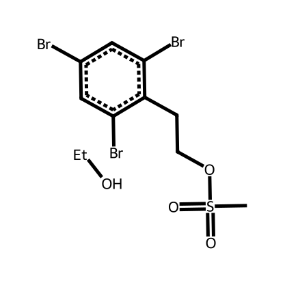 CCO.CS(=O)(=O)OCCc1c(Br)cc(Br)cc1Br